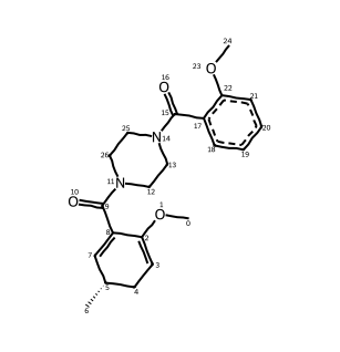 COC1=CC[C@H](C)C=C1C(=O)N1CCN(C(=O)c2ccccc2OC)CC1